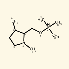 CC1CCN(C)C1CO[PH](C)(C)C